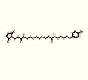 O=C(CCOCCOCCNC(=O)CCN1C(=O)C=CC1=O)NCCCCOc1ccc(Br)cc1